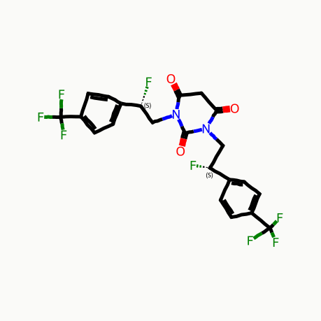 O=C1CC(=O)N(C[C@@H](F)c2ccc(C(F)(F)F)cc2)C(=O)N1C[C@@H](F)c1ccc(C(F)(F)F)cc1